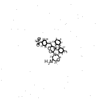 Cc1cccc(-c2ccccc2N(CC(=O)N2CCOCC(N)C2)C(=O)Cc2ccc(S(C)(=O)=O)cc2)c1